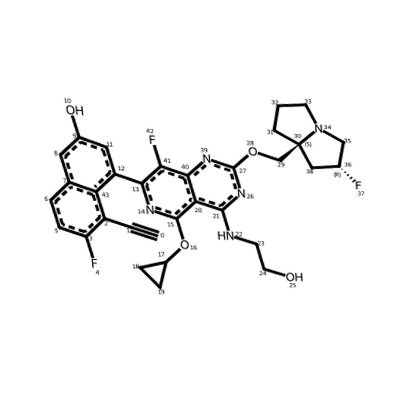 C#Cc1c(F)ccc2cc(O)cc(-c3nc(OC4CC4)c4c(NCCO)nc(OC[C@@]56CCCN5C[C@H](F)C6)nc4c3F)c12